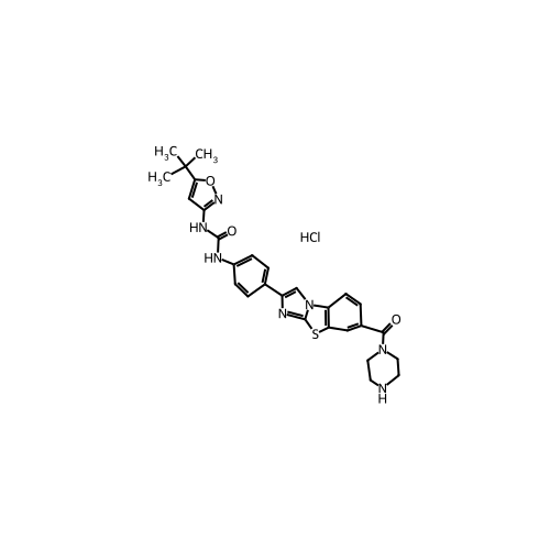 CC(C)(C)c1cc(NC(=O)Nc2ccc(-c3cn4c(n3)sc3cc(C(=O)N5CCNCC5)ccc34)cc2)no1.Cl